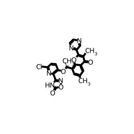 Cc1cc([C@@H](C)Oc2ccc(Cl)nc2-c2noc(=O)[nH]2)c2oc(-c3cnccn3)c(C)c(=O)c2c1